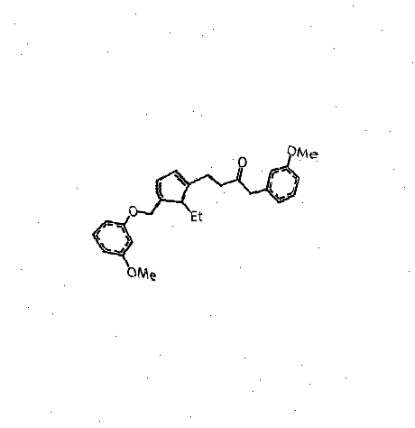 CCC1C(CCC(=O)Cc2cccc(OC)c2)=CC=C1COc1cccc(OC)c1